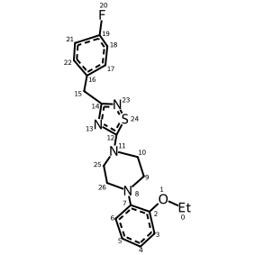 CCOc1ccccc1N1CCN(c2nc(Cc3ccc(F)cc3)ns2)CC1